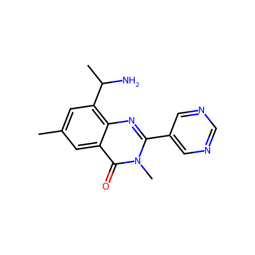 Cc1cc(C(C)N)c2nc(-c3cncnc3)n(C)c(=O)c2c1